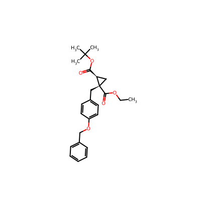 CCOC(=O)[C@@]1(Cc2ccc(OCc3ccccc3)cc2)C[C@@H]1C(=O)OC(C)(C)C